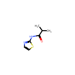 CC(C)C(=O)Nc1n[c]cs1